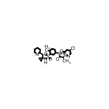 Cc1ccc(NC(=O)[C@H](C)n2ncc(Cl)cc2=O)cc1S(=O)(=O)NC1(Cc2ccccn2)CC1